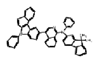 CC1(C)c2ccccc2-c2ccc(N(c3ccccc3)c3ncc(-c4ccc5c(c4)c4c6ccccc6ccc4n5-c4ccccc4)c4ccccc34)cc21